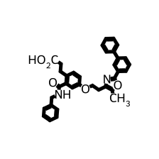 Cc1oc(-c2cccc(-c3ccccc3)c2)nc1CCOc1ccc(CCC(=O)O)c(C(=O)NCc2ccccc2)c1